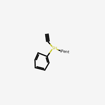 C#C[SH](c1ccccc1)C(C)CCC